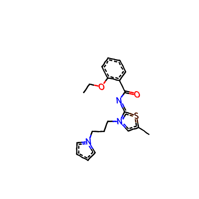 CCOc1ccccc1C(=O)/N=c1\sc(C)cn1CCCn1cccc1